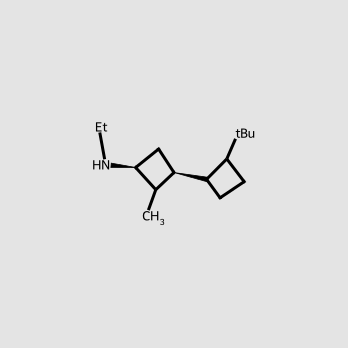 CCN[C@H]1C[C@@H](C2CCC2C(C)(C)C)C1C